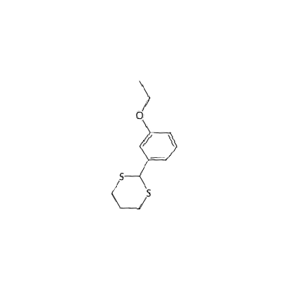 CCOc1cccc(C2SCCCS2)c1